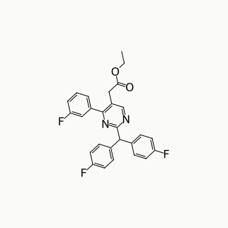 CCOC(=O)Cc1cnc(C(c2ccc(F)cc2)c2ccc(F)cc2)nc1-c1cccc(F)c1